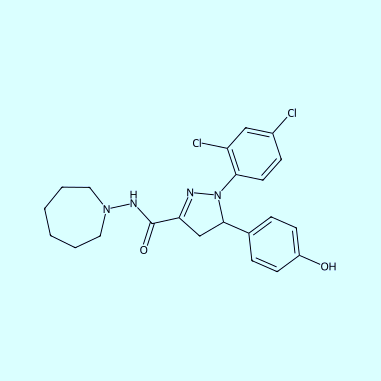 O=C(NN1CCCCCC1)C1=NN(c2ccc(Cl)cc2Cl)C(c2ccc(O)cc2)C1